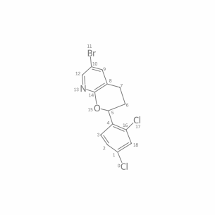 Clc1ccc(C2CCc3cc(Br)cnc3O2)c(Cl)c1